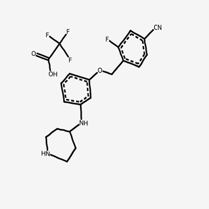 N#Cc1ccc(COc2cccc(NC3CCNCC3)c2)c(F)c1.O=C(O)C(F)(F)F